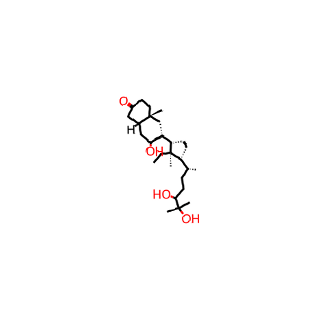 CC[C@]1(C)[C@@H]([C@H](C)CCC(O)C(C)(C)O)CC[C@H]1[C@H]1C[C@@]2(C)CCC(=O)C[C@H]2CC1O